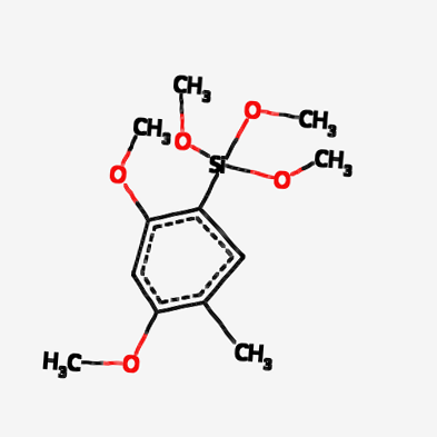 COc1cc(OC)c([Si](OC)(OC)OC)cc1C